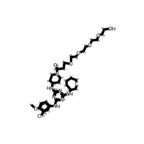 COc1ccc(Nc2nc(NC3CCCCCC3)nc(NC3CCN(C(=O)CCOCCOCCOCCOCCO)CC3)n2)cc1Cl